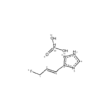 FCC=Cc1nc[nH]n1.O=[PH](O)O